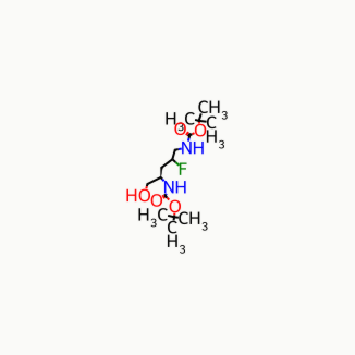 CC(C)(C)OC(=O)NCC(F)C[C@H](CO)NC(=O)OC(C)(C)C